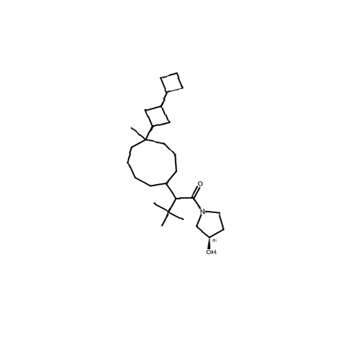 CC(C)(C)C(C(=O)N1CC[C@@H](O)C1)C1CCCCC(C)(C2CC(C3CCC3)C2)CCC1